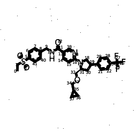 CCS(=O)(=O)c1ccc(CNC(=O)c2ccc(N3CC(c4ccc(C(F)(F)F)cc4)C[C@H]3COCC3CC3)nc2)cc1